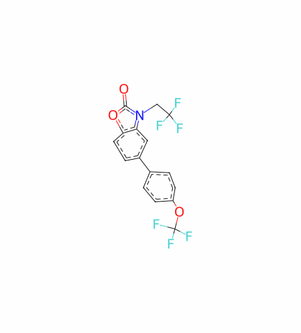 O=c1oc2ccc(-c3ccc(OC(F)(F)F)cc3)cc2n1CC(F)(F)F